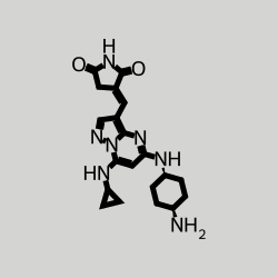 N[C@H]1CC[C@H](Nc2cc(NC3CC3)n3ncc(C=C4CC(=O)NC4=O)c3n2)CC1